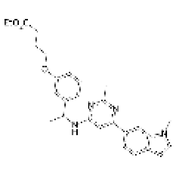 CCOC(=O)CCCOc1cccc(C(C)Nc2cc(-c3ccc4ccn(C)c4c3)nc(C)n2)c1